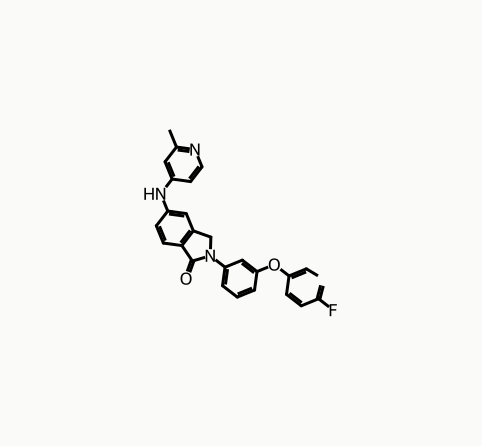 C=C(F)/C=C\C(=C/C)Oc1cccc(N2Cc3cc(Nc4ccnc(C)c4)ccc3C2=O)c1